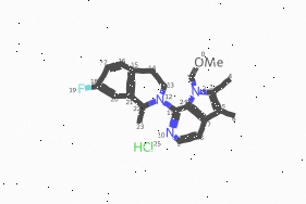 COCn1c(C)c(C)c2ccnc(N3CCc4ccc(F)cc4C3C)c21.Cl